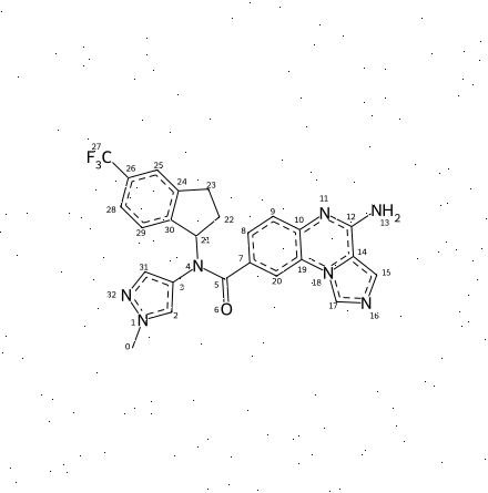 Cn1cc(N(C(=O)c2ccc3nc(N)c4cncn4c3c2)C2CCc3cc(C(F)(F)F)ccc32)cn1